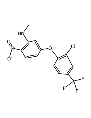 CNc1cc(Oc2ccc(C(F)(F)F)cc2Cl)ccc1[N+](=O)[O-]